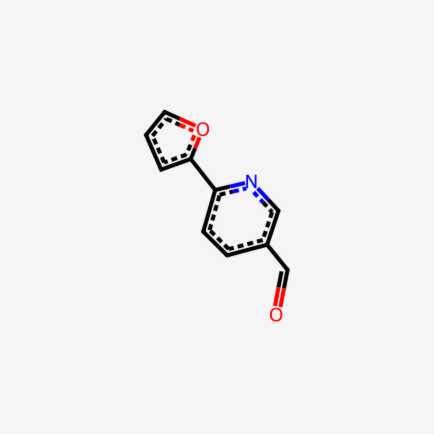 O=Cc1ccc(-c2ccco2)nc1